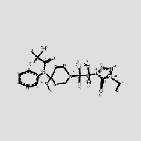 [2H]C([2H])(C)C(=O)N(c1ccccc1)C1(OC)CCN(C([2H])([2H])C([2H])([2H])n2nnn(CC)c2=O)CC1